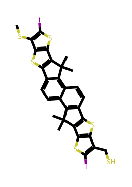 CSc1c(I)sc2c3c(sc12)-c1ccc2c4c(ccc2c1C3(C)C)-c1sc2c(CS)c(I)sc2c1C4(C)C